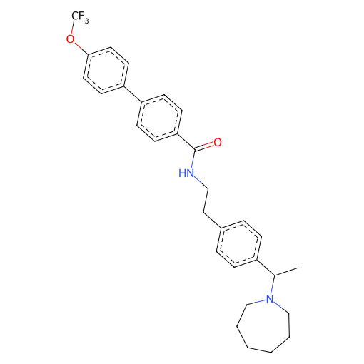 CC(c1ccc(CCNC(=O)c2ccc(-c3ccc(OC(F)(F)F)cc3)cc2)cc1)N1CCCCCC1